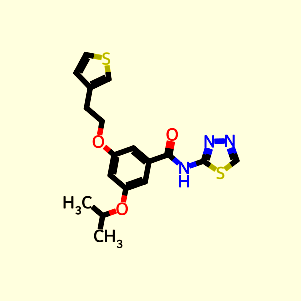 CC(C)Oc1cc(OCCc2ccsc2)cc(C(=O)Nc2nncs2)c1